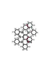 c1ccc(-c2cccc(-c3ccccc3)c2N2c3ccccc3B3c4ccccc4N4c5ccccc5B5c6ccccc6Nc6cc2c3c4c65)cc1